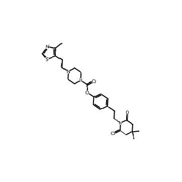 Cc1ncsc1CCN1CCN(C(=O)Oc2ccc(CCN3C(=O)CC(C)(C)CC3=O)cc2)CC1